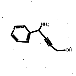 NC(C#CCO)c1ccccc1